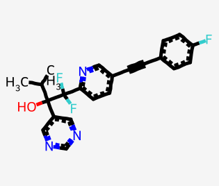 CC(C)C(O)(c1cncnc1)C(F)(F)c1ccc(C#Cc2ccc(F)cc2)cn1